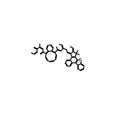 C=C(/C=C\C)/C(C)=C\C(=C)c1ccccccc(/C(C)=C/C(=C\C)C/C=C2\C(=C/C)C(C)(C)c3c2c2ccccc2c2c3sc3ccccc32)c2ccccc12